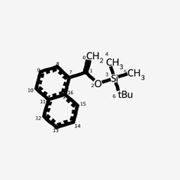 C=C(O[Si](C)(C)C(C)(C)C)c1cccc2ccccc12